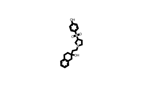 O=S(=O)(c1ccc(O)cc1)C1CCN(CCC2(O)CCc3ccccc3C2)C1